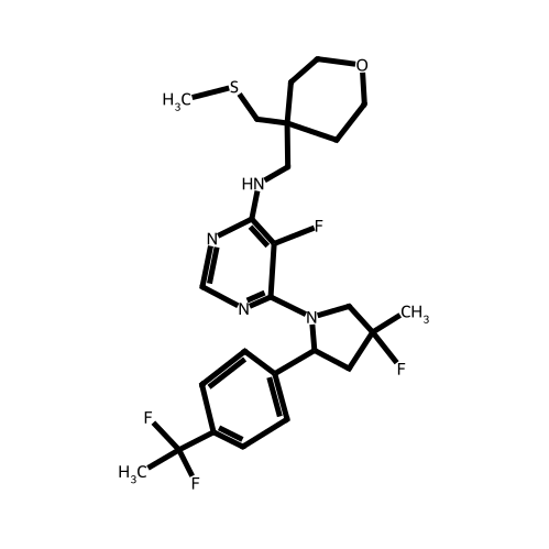 CSCC1(CNc2ncnc(N3CC(C)(F)CC3c3ccc(C(C)(F)F)cc3)c2F)CCOCC1